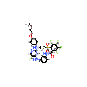 COCCOc1ccc(Nc2ncc(F)c(Nc3cccc(NC(=O)c4c(F)c(F)c(F)c(F)c4S(C)(=O)=O)c3)n2)cc1